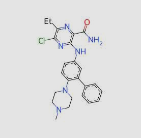 CCc1nc(C(N)=O)c(Nc2ccc(N3CCN(C)CC3)c(-c3ccccc3)c2)nc1Cl